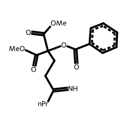 CCCC(=N)CCC(OC(=O)c1ccccc1)(C(=O)OC)C(=O)OC